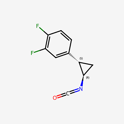 O=C=N[C@@H]1C[C@H]1c1ccc(F)c(F)c1